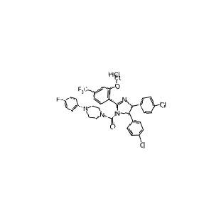 CCOc1cc(C(F)(F)F)ccc1C1=NC(c2ccc(Cl)cc2)C(c2ccc(Cl)cc2)N1C(=O)N1CCN(c2ccc(F)cc2)CC1.Cl